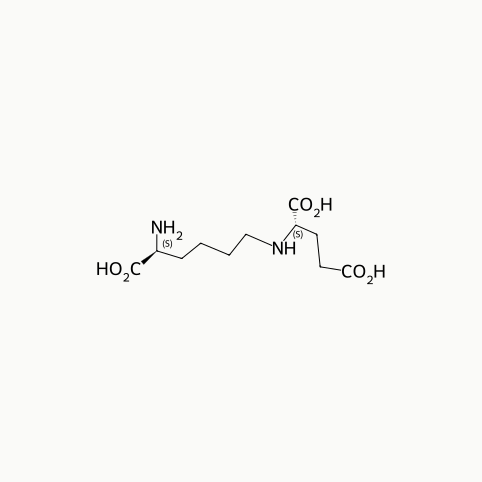 N[C@@H](CCCCN[C@@H](CCC(=O)O)C(=O)O)C(=O)O